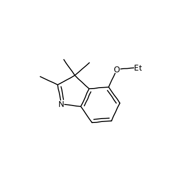 CCOc1cccc2c1C(C)(C)C(C)=N2